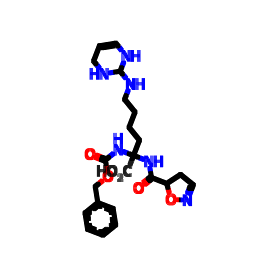 O=C(NC(CCCCNC1NC=CCN1)(NC(=O)C1CC=NO1)C(=O)O)OCc1ccccc1